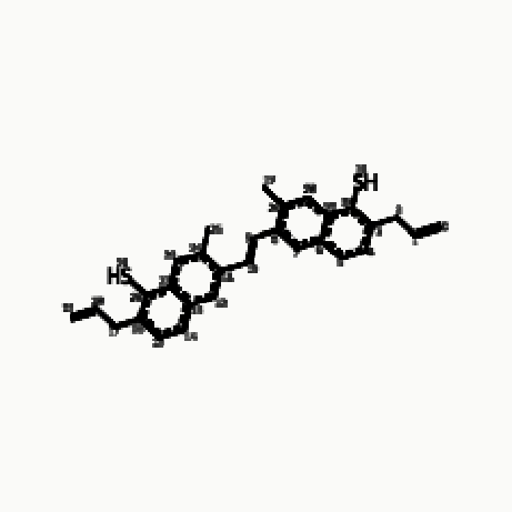 C=CCc1ccc2cc(C=Cc3cc4ccc(CC=C)c(S)c4cc3C)c(C)cc2c1S